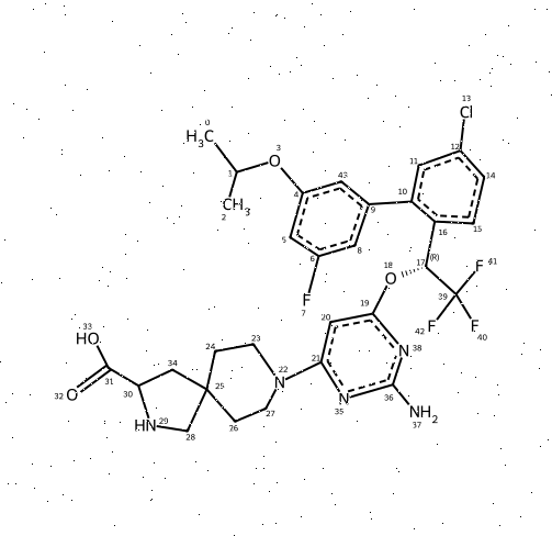 CC(C)Oc1cc(F)cc(-c2cc(Cl)ccc2[C@@H](Oc2cc(N3CCC4(CC3)CNC(C(=O)O)C4)nc(N)n2)C(F)(F)F)c1